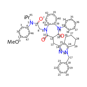 COc1ccc(N(C(=O)CN2C(=O)C(Cc3nn(Cc4ccccc4)c4c3CCCC4)C(=O)N(c3ccccc3)c3ccccc32)C(C)C)cc1